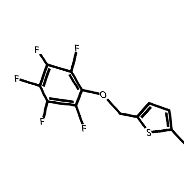 O=Cc1ccc(COc2c(F)c(F)c(F)c(F)c2F)s1